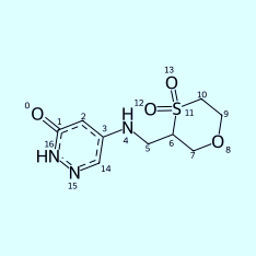 O=c1cc(NCC2COCCS2(=O)=O)cn[nH]1